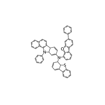 C1=CC(N(C2=CC3C(C=C2)c2ccc4ccccc4c2N3c2ccccc2)c2cccc3c2oc2cc(-c4ccccc4)ccc23)C2Sc3ccccc3C2=C1